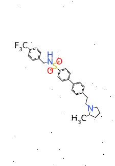 CC1CCCN1CCc1ccc(-c2ccc(S(=O)(=O)NCc3ccc(C(F)(F)F)cc3)cc2)cc1